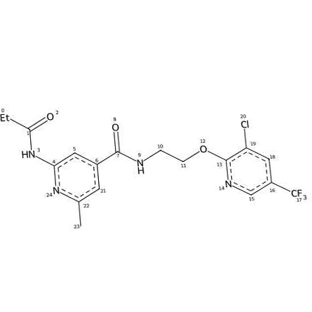 CCC(=O)Nc1cc(C(=O)NCCOc2ncc(C(F)(F)F)cc2Cl)cc(C)n1